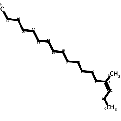 CCC=C(C)CCCCCCCCCCCCCC